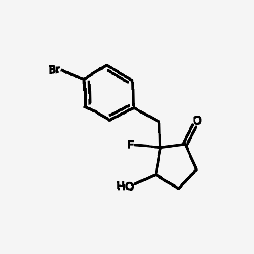 O=C1CCC(O)C1(F)Cc1ccc(Br)cc1